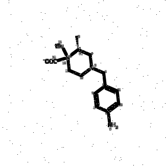 C[C@@H]1CN(Cc2ccc(N)cc2)CC[N+]1(C(=O)[O-])C(C)(C)C